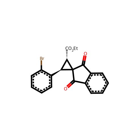 CCOC(=O)[C@H]1[C@H](c2ccccc2Br)C12C(=O)c1ccccc1C2=O